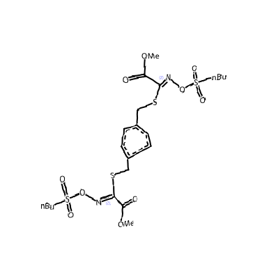 CCCCS(=O)(=O)O/N=C(\SCc1ccc(CS/C(=N\OS(=O)(=O)CCCC)C(=O)OC)cc1)C(=O)OC